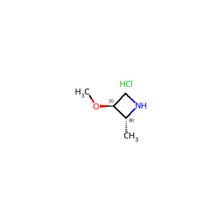 CO[C@H]1CN[C@@H]1C.Cl